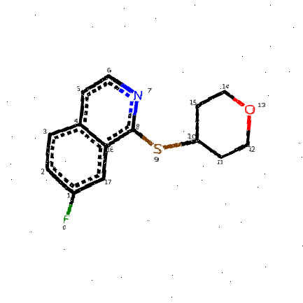 Fc1ccc2ccnc(SC3CCOCC3)c2c1